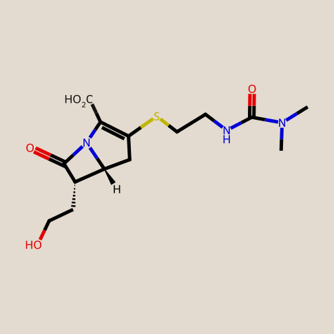 CN(C)C(=O)NCCSC1=C(C(=O)O)N2C(=O)[C@@H](CCO)[C@H]2C1